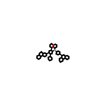 c1ccc(-c2cc(N(c3ccccc3)c3ccc(-c4cc5ccccc5c5ccccc45)cc3)c(-c3ccccc3)cc2-c2ccc3c(ccc4ccccc43)c2)cc1